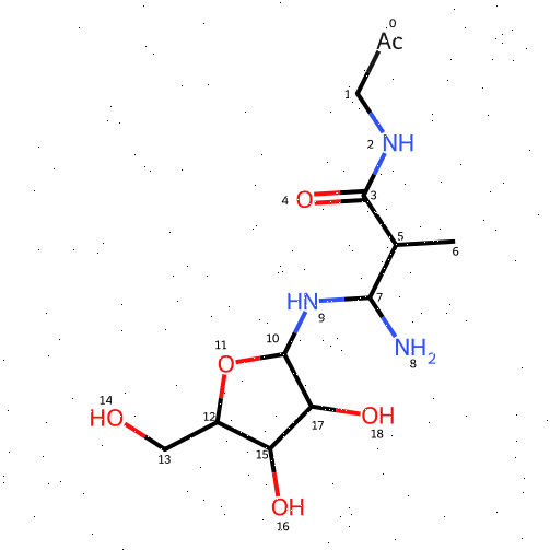 CC(=O)CNC(=O)C(C)C(N)NC1OC(CO)C(O)C1O